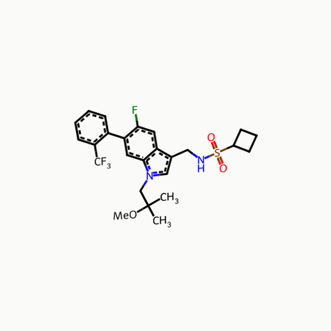 COC(C)(C)Cn1cc(CNS(=O)(=O)C2CCC2)c2cc(F)c(-c3ccccc3C(F)(F)F)cc21